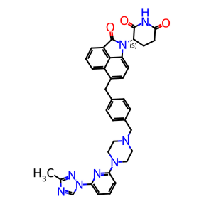 Cc1ncn(-c2cccc(N3CCN(Cc4ccc(Cc5ccc6c7c(cccc57)C(=O)N6[C@H]5CCC(=O)NC5=O)cc4)CC3)n2)n1